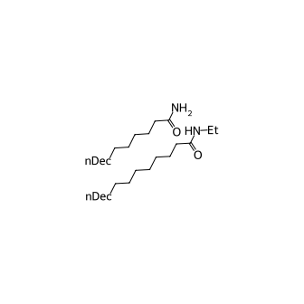 CCCCCCCCCCCCCCCC(N)=O.CCCCCCCCCCCCCCCCCC(=O)NCC